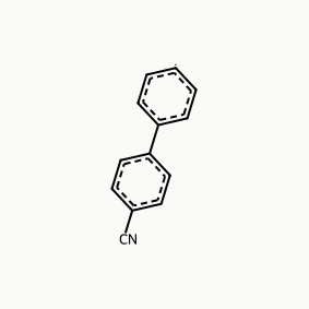 N#Cc1ccc(-c2cc[c]cc2)cc1